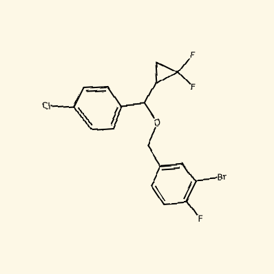 Fc1ccc(COC(c2ccc(Cl)cc2)C2CC2(F)F)cc1Br